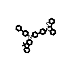 CC1(C)C2=C(CCC=C2)c2ccc(N(c3ccc(-c4ccccc4)cc3)c3ccc(-c4ccc(-n5c6ccccc6c6c7ccccc7sc65)cc4)cc3)cc21